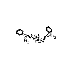 CC[Si](CC)(O[Si](C)(C)C=C[SiH2]c1ccccc1)O[Si](C)(C)C=C[SiH2]c1ccccc1